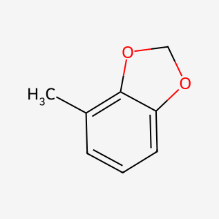 Cc1cccc2c1OCO2